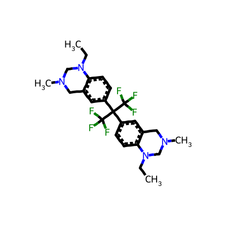 CCN1CN(C)Cc2cc(C(c3ccc4c(c3)CN(C)CN4CC)(C(F)(F)F)C(F)(F)F)ccc21